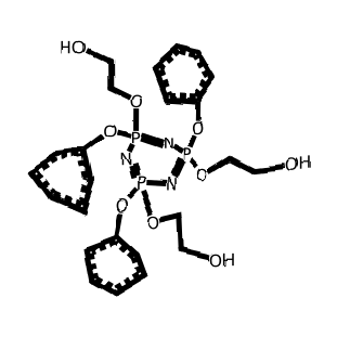 OCCOP1(Oc2ccccc2)=NP(OCCO)(Oc2ccccc2)=NP(OCCO)(Oc2ccccc2)=N1